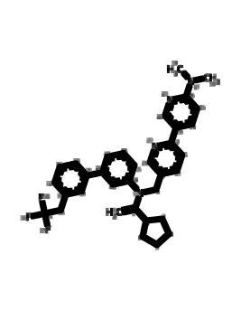 C=C(C1CCCC1)N(Cc1ccc(-c2ccc(N(C)C)nc2)nc1)c1cccc(-c2cccc(CC(F)(F)F)c2)c1